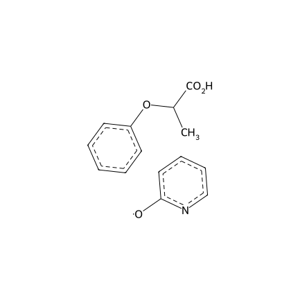 CC(Oc1ccccc1)C(=O)O.[O]c1ccccn1